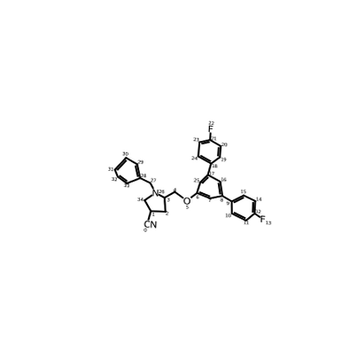 N#CC1CC(COc2cc(-c3ccc(F)cc3)cc(-c3ccc(F)cc3)c2)N(Cc2ccccc2)C1